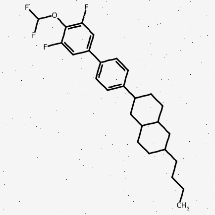 CCCCC1CCC2CC(c3ccc(-c4cc(F)c(OC(F)F)c(F)c4)cc3)CCC2C1